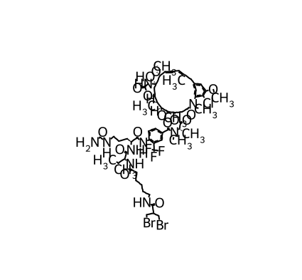 COc1cc2cc(c1Cl)N(C)C(=O)C[C@H](OC(=O)[C@H](C)N(C)C(=O)c1ccc(NC(=O)[C@H](CCCNC(N)=O)NC(=O)[C@@H](NC(=O)CCCCCNC(=O)C(CBr)CBr)C(C)C)c(C(F)(F)F)c1)[C@]1(C)O[C@H]1[C@H](C)[C@@H]1C[C@@](O)(NC(=O)O1)[C@H](OC)/C=C/C=C(\C)C2